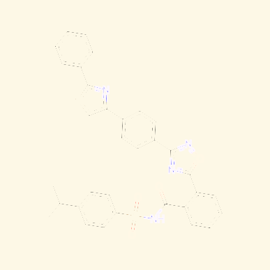 CC(C)c1ccc(S(=O)(=O)NC(=O)c2ccccc2-c2nc(-c3ccc(-c4csc(-c5ccccc5)n4)cc3)no2)cc1